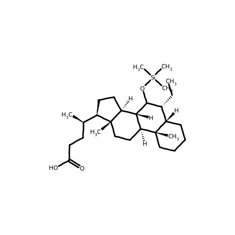 CC[C@H]1C(O[Si](C)(C)C)[C@@H]2[C@H](CC[C@]3(C)[C@@H]([C@H](C)CCC(=O)O)CC[C@@H]23)[C@@]2(C)CCCC[C@@H]12